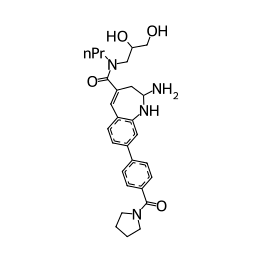 CCCN(CC(O)CO)C(=O)C1=Cc2ccc(-c3ccc(C(=O)N4CCCC4)cc3)cc2NC(N)C1